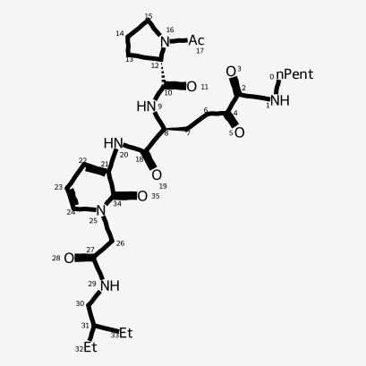 CCCCCNC(=O)C(=O)CC[C@H](NC(=O)[C@@H]1CCCN1C(C)=O)C(=O)Nc1cccn(CC(=O)NCC(CC)CC)c1=O